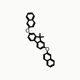 CC1(C)c2cc(Oc3ccc4ccccc4c3)ccc2-c2ccc(Oc3ccc4ccccc4c3)cc21